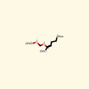 CCCCCCCCCCCC=C(C=O)OCOCCCCC